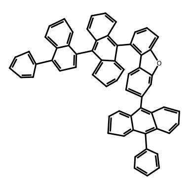 c1ccc(-c2ccc(-c3c4ccccc4c(-c4cccc5oc6cc(-c7c8ccccc8c(-c8ccccc8)c8ccccc78)ccc6c45)c4ccccc34)c3ccccc23)cc1